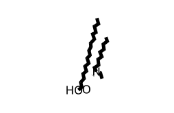 CCCCCCCCCCCCCCCCCC(=O)O.CCCCCCCCCN(C)CC